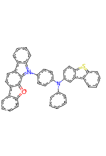 c1ccc(N(c2ccc(-n3c4ccccc4c4ccc5c6ccccc6oc5c43)cc2)c2ccc3sc4ccccc4c3c2)cc1